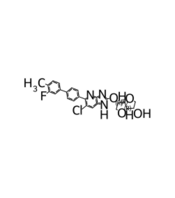 Cc1ccc(-c2ccc(-c3nc4nc(O[C@@H]5CO[C@@H]6C(O)CO[C@@H]65)[nH]c4cc3Cl)cc2)cc1F